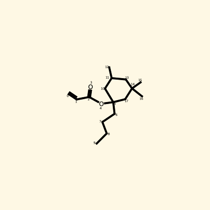 C=CC(=O)OC1(CCCC)CC(C)CC(C)(C)C1